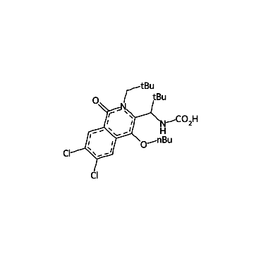 CCCCOc1c(C(NC(=O)O)C(C)(C)C)n(CC(C)(C)C)c(=O)c2cc(Cl)c(Cl)cc12